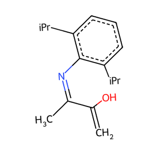 C=C(O)/C(C)=N\c1c(C(C)C)cccc1C(C)C